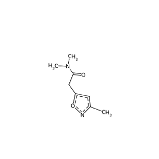 Cc1cc(CC(=O)N(C)C)on1